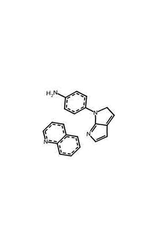 Nc1ccc(N2CC=C3C=CN=C32)cc1.c1ccc2ncccc2c1